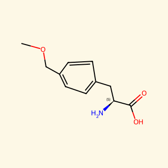 COCc1ccc(C[C@H](N)C(=O)O)cc1